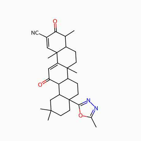 Cc1nnc(C23CCC4C(C(=O)C=C5C6(C)C=C(C#N)C(=O)C(C)C6CCC54C)C2CC(C)(C)CC3)o1